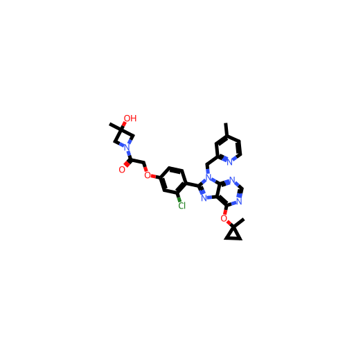 Cc1ccnc(Cn2c(-c3ccc(OCC(=O)N4CC(C)(O)C4)cc3Cl)nc3c(OC4(C)CC4)ncnc32)c1